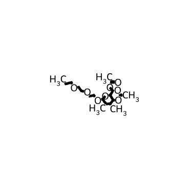 CCCOCCOCCOC1OC(COC(C)=O)C(OC(C)=O)C(C)C1C